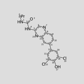 CCCNC(=O)Nc1cnc2ccc(-c3cc(Cl)c(O)c(Cl)c3)cc2n1